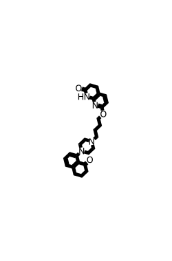 O=C1CCc2ccc(OCCCCN3CCN(c4cccc5c4C(=O)CCC5)CC3)nc2N1